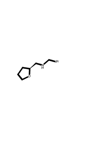 CC(C)CNC[C@@H]1CCCO1